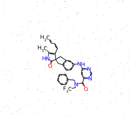 C=C/C=C\C1=C(C)NC(=O)C12Cc1ccc(Nc3cc(C(=O)N(Cc4ccccc4)CC(F)(F)F)ncn3)cc1C2